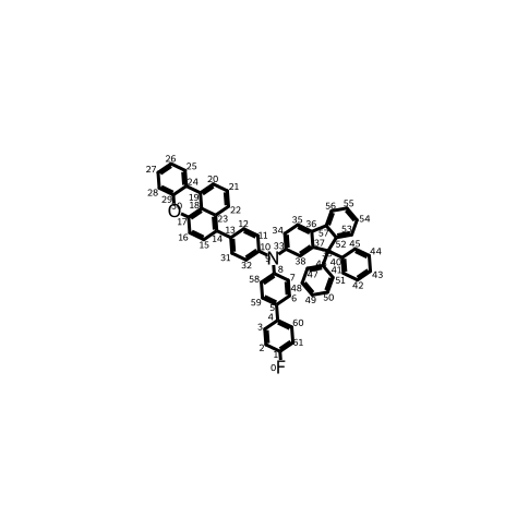 Fc1ccc(-c2ccc(N(c3ccc(-c4ccc5c6c(cccc46)-c4ccccc4O5)cc3)c3ccc4c(c3)C(c3ccccc3)(c3ccccc3)c3ccccc3-4)cc2)cc1